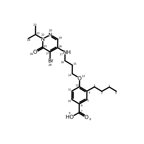 CCCCc1cc(C(=O)O)ccc1OCCCNc1cnn(C(C)C)c(=O)c1Br